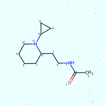 CC(=O)NCCC1CCCCN1C1CC1